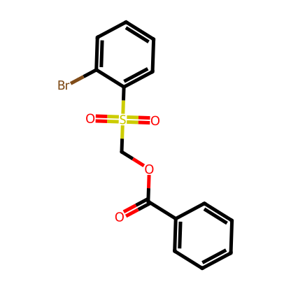 O=C(OCS(=O)(=O)c1ccccc1Br)c1ccccc1